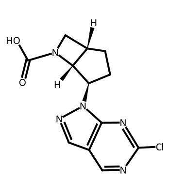 O=C(O)N1C[C@@H]2CC[C@@H](n3ncc4cnc(Cl)nc43)[C@@H]21